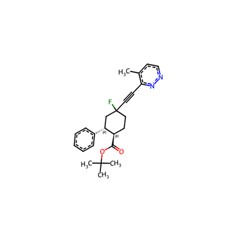 Cc1ccnnc1C#CC1(F)CC[C@@H](C(=O)OC(C)(C)C)[C@H](c2ccccc2)C1